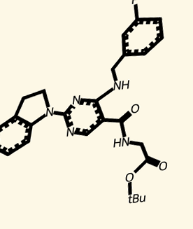 CC(C)(C)OC(=O)CNC(=O)c1cnc(N2CCc3ccccc32)nc1NCc1cccc(F)c1